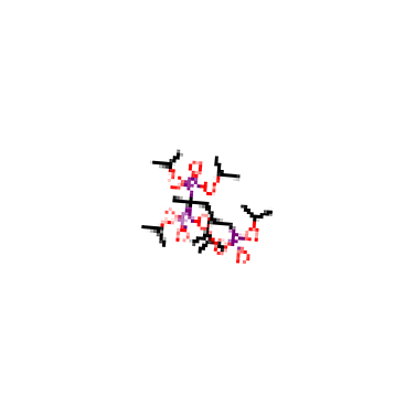 CC(C)OP(=O)(CCCC(C)(P(=O)(OC(C)C)OC(C)C)P(=O)(OC(C)C)OC(C)C)OC(C)C